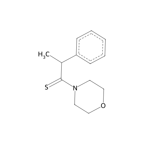 CC(C(=S)N1CCOCC1)c1ccccc1